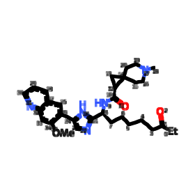 CCC(=O)CCCCC[C@H](NC(=O)[C@H]1CC12CCN(C)CC2)c1ncc(-c2cc3cccnc3cc2OC)[nH]1